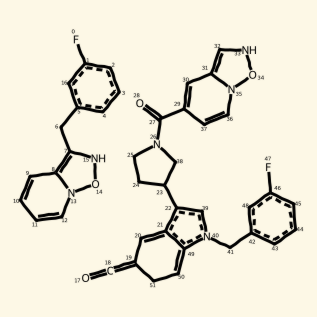 Fc1cccc(CC2=C3C=CC=CN3ON2)c1.O=C=C1C=c2c(C3CCN(C(=O)C4=CC5=CNON5C=C4)C3)cn(Cc3cccc(F)c3)c2=CC1